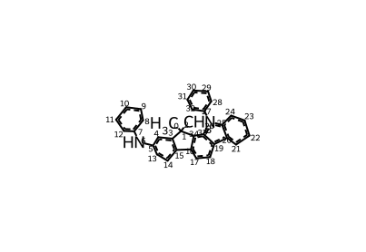 CC1(C)c2cc(Nc3ccccc3)ccc2-c2ccc3c4ccccc4n(-c4ccccc4)c3c21